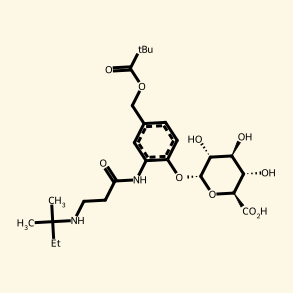 CCC(C)(C)NCCC(=O)Nc1cc(COC(=O)C(C)(C)C)ccc1O[C@H]1O[C@H](C(=O)O)[C@@H](O)[C@H](O)[C@H]1O